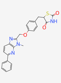 Cn1c(COc2ccc(CC3SC(=O)NC3=O)cc2)nc2ccc(-c3ccccc3)nc21